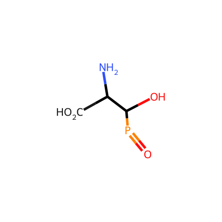 NC(C(=O)O)C(O)P=O